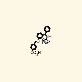 CC(C)(C)OC(=O)NC(c1ccccc1)c1cccc(OCc2ccc(C(=O)O)cc2)c1